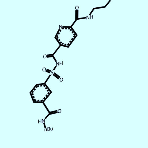 CCCCNC(=O)c1cccc(S(=O)(=O)NC(=O)c2ccc(C(=O)NCCO)nc2)c1